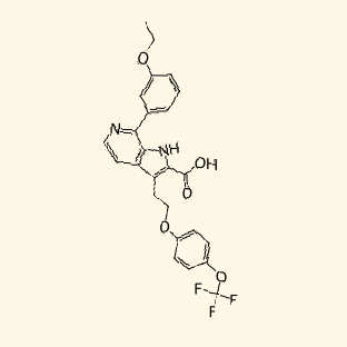 CCOc1cccc(-c2nccc3c(CCOc4ccc(OC(F)(F)F)cc4)c(C(=O)O)[nH]c23)c1